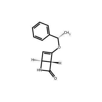 C[C@H](OC1=C[C@@H]2NC(=O)[C@@H]12)c1ccccc1